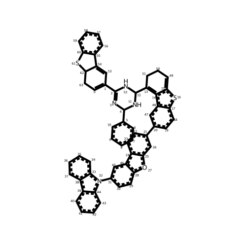 C1=C(C2=NC(c3ccccc3)NC(C3=c4c(sc5ccc(-c6ccc7c(c6)oc6ccc(-n8c9ccccc9c9ccccc98)cc67)cc45)=CCC3)N2)C=C2c3ccccc3SC2C1